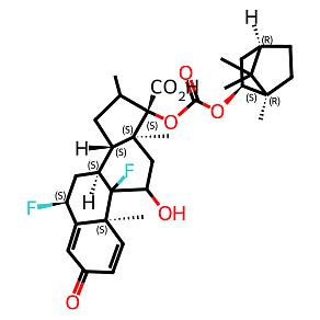 CC1C[C@H]2[C@@H]3C[C@H](F)C4=CC(=O)C=C[C@]4(C)C3(F)C(O)C[C@]2(C)[C@]1(OC(=O)O[C@H]1C[C@H]2CC[C@]1(C)C2(C)C)C(=O)O